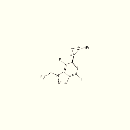 CC(C)[C@H]1C[C@@H]1c1cc(F)c2cnn(CC(F)(F)F)c2c1F